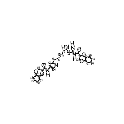 N=C(CCSCCc1nnc(NC(=O)C2COc3ccccc3O2)s1)SC(=N)NC(=O)C1COc2ccccc2O1